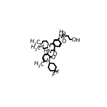 Cc1ccc(NC(=O)c2ccc(NS(=O)(=O)CCO)cc2N2CC[Si](C)(C)CC2)c(=O)n1C1CCC(F)(F)CC1